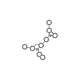 c1ccc(-c2ccc3c(c2)Cc2cc(-c4ccc(-n5c6ccccc6c6cc(-c7ccccc7)ccc65)cc4)ccc2N3c2ccc3ccccc3c2)cc1